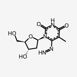 Cc1c(N=N)n([C@H]2C[C@H](O)[C@@H](CO)O2)c(=O)[nH]c1=O